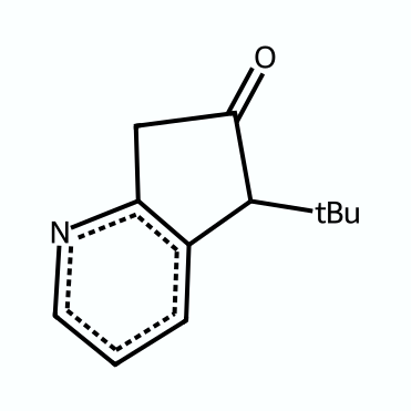 CC(C)(C)C1C(=O)Cc2ncccc21